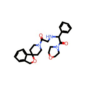 O=C(CNC(C(=O)N1CCOCC1)c1ccccc1)N1CCC2(CC1)OCc1ccccc12